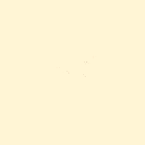 COC1CN(C(=O)c2cc(C)ccc2C)CC1N(C)c1cccc(Br)c1